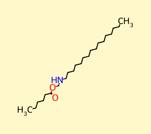 CCCCCCCCCCCCCCCCNCOC(=O)CCCCC